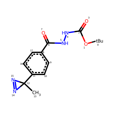 CC(C)(C)OC(=O)NNC(=O)c1ccc(C2(C)N=N2)cc1